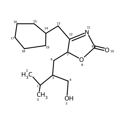 CC(C)C(CO)CC1OC(=O)N=C1CC1CCCCC1